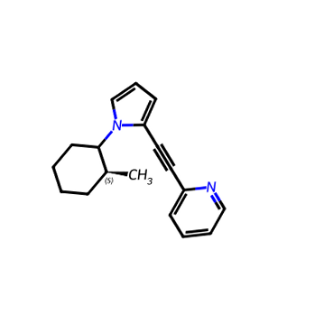 C[C@H]1CCCCC1n1cccc1C#Cc1ccccn1